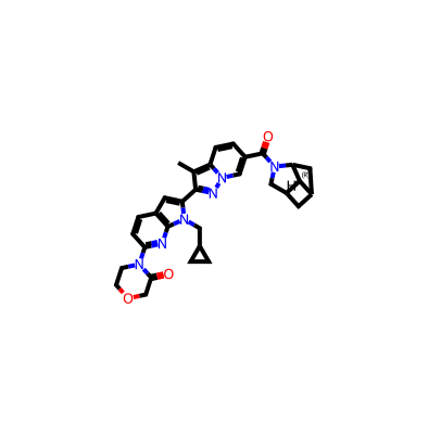 Cc1c(-c2cc3ccc(N4CCOCC4=O)nc3n2CC2CC2)nn2cc(C(=O)N3CC4CC5CC3[C@H]54)ccc12